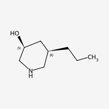 CCC[C@H]1CNC[C@@H](O)C1